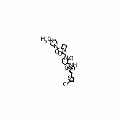 CN1CCN(C(=O)[C@@H]2CCCN2C(=O)CN2CCC[C@H](NS(=O)(=O)/C=C/c3ccc(Cl)s3)C2=O)CC1